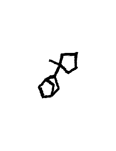 CC1(C2CC3C=CC2C3)CCCC1